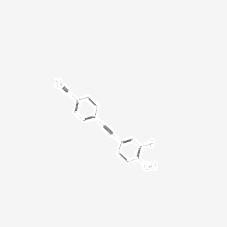 N#Cc1ccc(C#Cc2ccc(O)c(F)c2)cc1